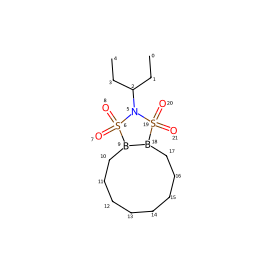 CCC(CC)N1S(=O)(=O)B2CCCCCCCCB2S1(=O)=O